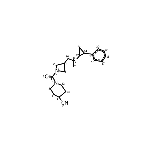 N#CC1CCN(C(=O)N2CC(CNC3CC3c3ccccc3)C2)CC1